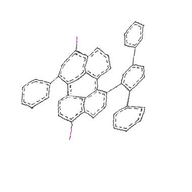 Ic1cc(-c2ccccc2)c2c3ccc(I)c4ccc(-c5cc(-c6ccccc6)ccc5-c5ccccc5)c(c5cccc1c52)c43